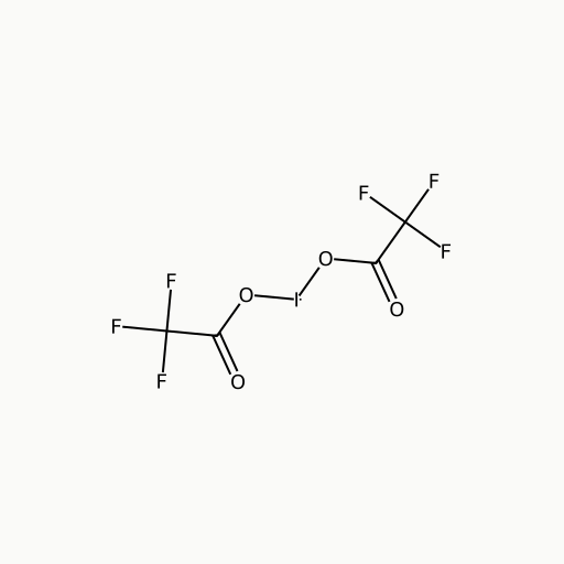 O=C(O[I]OC(=O)C(F)(F)F)C(F)(F)F